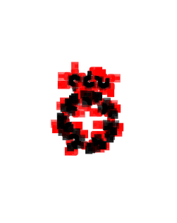 OC[C@H]1O[C@@H](O[C@H]2[C@H](O)[C@@H](O)[C@H](O[C@H]3[C@H](O)[C@@H](O)C(O)O[C@@H]3CO)O[C@@H]2CO)[C@H](O)[C@@H](O)[C@@H]1O.OC[C@H]1O[C@@H]2O[C@H]3[C@H](O)[C@@H](O)[C@@H](O[C@H]4[C@H](O)[C@@H](O)[C@@H](O[C@H]5[C@H](O)[C@@H](O)[C@@H](O[C@H]6[C@H](O)[C@@H](O)[C@@H](O[C@H]7[C@H](O)[C@@H](O)[C@@H](O[C@H]8[C@H](O)[C@@H](O)[C@@H](O[C@H]1[C@H](O)[C@H]2O)O[C@@H]8CO)O[C@@H]7CO)O[C@@H]6CO)O[C@@H]5CO)O[C@@H]4CO)O[C@@H]3CO